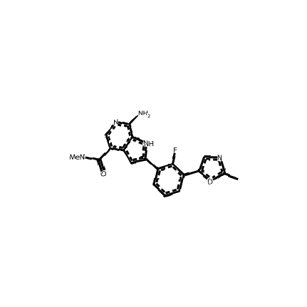 CNC(=O)c1cnc(N)c2[nH]c(-c3cccc(-c4cnc(C)o4)c3F)cc12